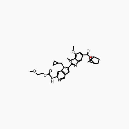 COCCOC(=O)Nc1cc2c(cn1)cc(-c1nc3cc(C(=O)N4CC5CCC4[C@@H]5C)cc(OC)c3n1C)n2CC1CC1